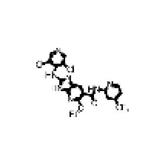 CCOc1nc2[nH]c(Nc3c(Cl)cncc3Cl)nc2cc1C(=O)NC1CC(C(F)(F)F)=CC=N1